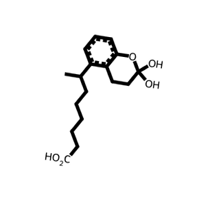 CC(CCCCCC(=O)O)c1cccc2c1CCC(O)(O)O2